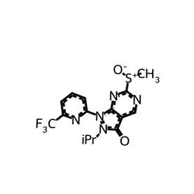 CC(C)n1c(=O)c2cnc([S+](C)[O-])nc2n1-c1cccc(C(F)(F)F)n1